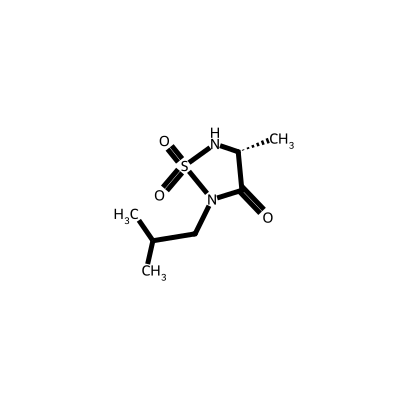 CC(C)CN1C(=O)[C@@H](C)NS1(=O)=O